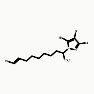 CCC=CCCCCCCC(C(=O)OCC)n1nc(Br)c(Br)c1Br